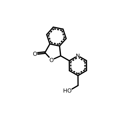 O=C1OC(c2cc(CO)ccn2)c2ccccc21